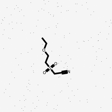 CCOCCS(=O)(=O)CC#N